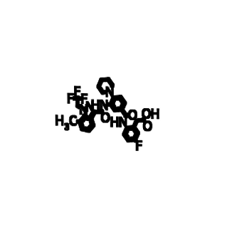 Cc1cccc2c(C(=O)Nc3cc(C(=O)Nc4ccc(F)cc4CC(=O)O)ccc3N3CCCCC3)nn(CC(F)(F)F)c12